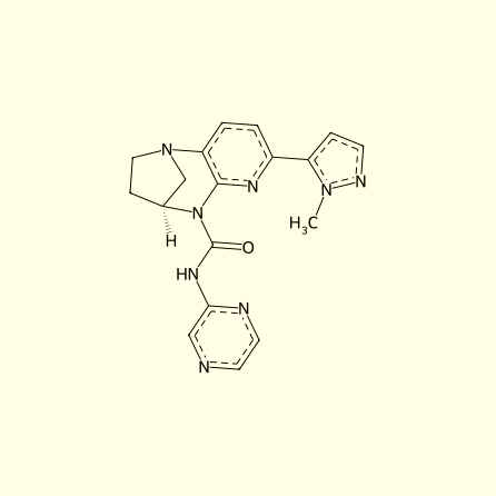 Cn1nccc1-c1ccc2c(n1)N(C(=O)Nc1cnccn1)[C@H]1CCN2C1